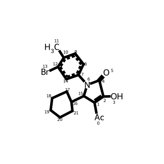 CC(=O)C1=C(O)C(=O)N(c2ccc(C)c(Br)c2)C1C1CCCCC1